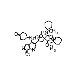 CCn1ncc2c(NC3CCC(=O)CC3)c(C3=NOC(C(=O)NC4(C)CCCCC4)(C(=O)NC4(C)CCCCC4)C3)cnc21